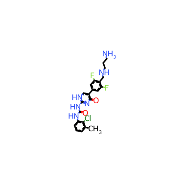 Cc1cccc(NC(=O)Nc2nc(=O)c(-c3cc(F)c(CNCCCN)c(F)c3)c[nH]2)c1Cl